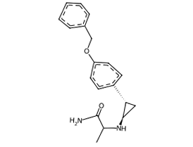 CC(N[C@@H]1C[C@H]1c1ccc(OCc2ccccc2)cc1)C(N)=O